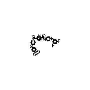 CS(=O)(=O)c1ccc(OC2CCN(C(=O)c3ccc(C(=O)NC4CCN(Cc5cc(F)cc(F)c5)CC4)nc3)CC2)cc1